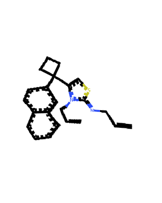 C=CC/N=c1\scc(C2(c3ccc4ccccc4c3)CCC2)n1CC=C